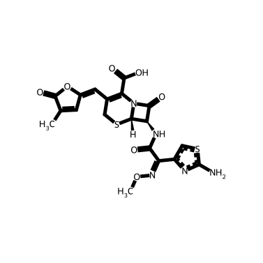 CO/N=C(\C(=O)N[C@@H]1C(=O)N2C(C(=O)O)=C(/C=C3\C=C(C)C(=O)O3)CS[C@@H]12)c1csc(N)n1